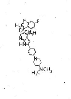 CN(C)C1CCN(c2ccc(-c3cc4c(Nc5cc(F)cc(F)c5P(C)(C)=O)ccnc4[nH]3)cc2)CC1